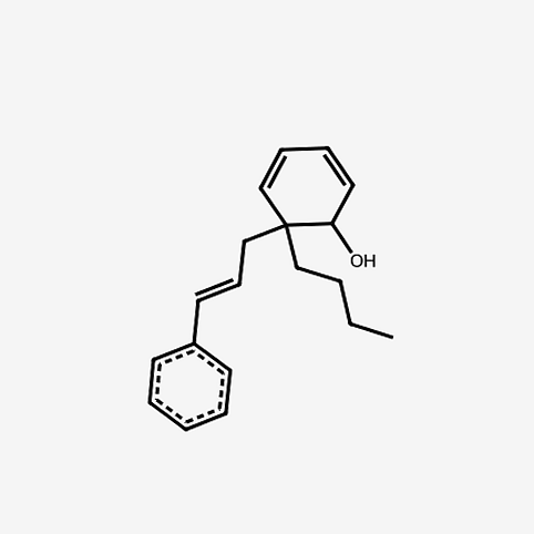 CCCCC1(C/C=C/c2ccccc2)C=CC=CC1O